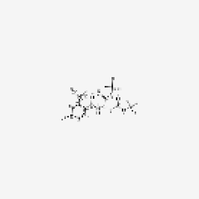 CC(C)(C)OC(=O)C[C@H](NC(=O)c1ccc(F)cc1[N+](=O)[O-])C(=O)OC(C)(C)C